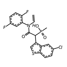 C=CN(C(=O)C(c1csc2ccc(Cl)cc12)P(C)(=O)O)c1cc(F)ccc1F